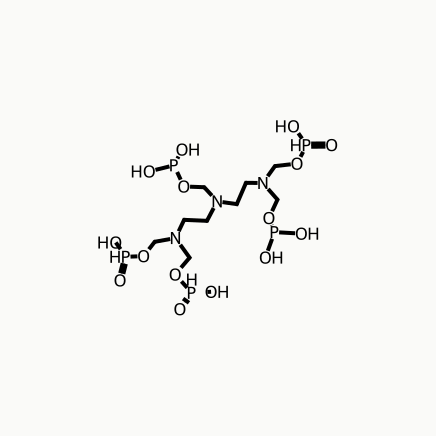 O=[PH](O)OCN(CCN(CCN(CO[PH](=O)O)CO[PH](=O)O)COP(O)O)COP(O)O